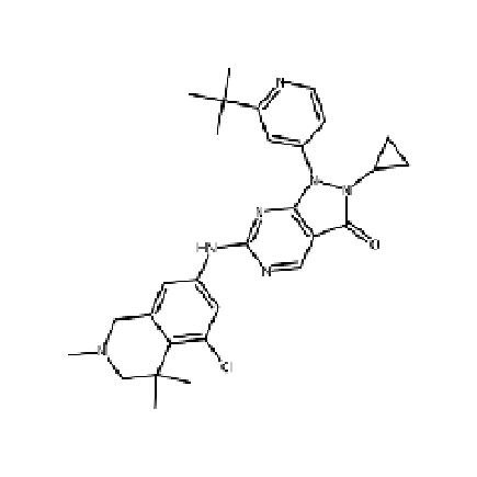 CN1Cc2cc(Nc3ncc4c(=O)n(C5CC5)n(-c5ccnc(C(C)(C)C)c5)c4n3)cc(Cl)c2C(C)(C)C1